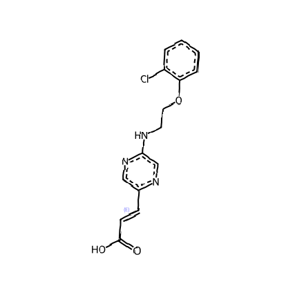 O=C(O)/C=C/c1cnc(NCCOc2ccccc2Cl)cn1